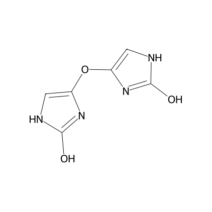 Oc1nc(Oc2c[nH]c(O)n2)c[nH]1